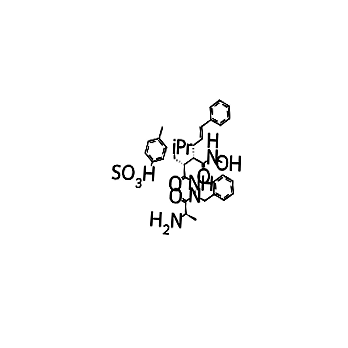 CC(C)C[C@@H](C(=O)NN(Cc1ccccc1)C(=O)[C@@H](C)N)[C@H](CC=Cc1ccccc1)C(=O)NO.Cc1ccc(S(=O)(=O)O)cc1